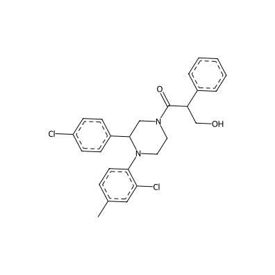 Cc1ccc(N2CCN(C(=O)C(CO)c3ccccc3)CC2c2ccc(Cl)cc2)c(Cl)c1